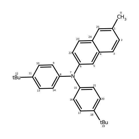 Cc1ccc2cc(N(c3ccc(C(C)(C)C)cc3)c3ccc(C(C)(C)C)cc3)ccc2c1